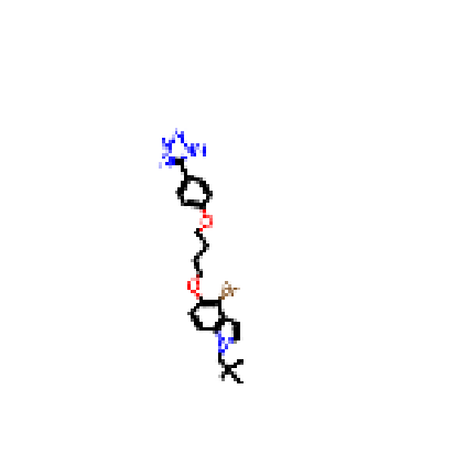 CC(C)(C)Cn1ccc2c(Br)c(OCCCCOc3ccc(-c4nnn[nH]4)cc3)ccc21